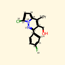 CC(C)c1c(CO)c(-c2ccc(F)cc2)nn2c(Cl)ccc12